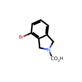 O=C(O)N1Cc2cccc(Br)c2C1